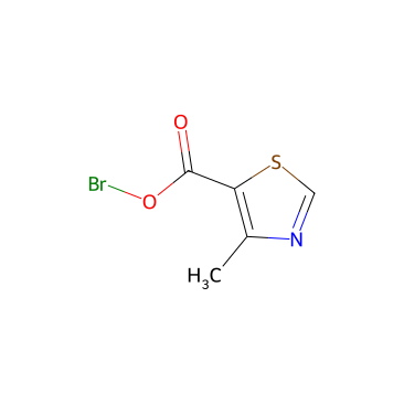 Cc1ncsc1C(=O)OBr